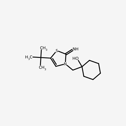 CC(C)(C)c1cn(CC2(O)CCCCC2)c(=N)s1